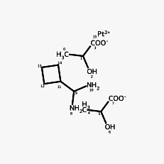 CC(O)C(=O)[O-].CC(O)C(=O)[O-].NC(N)C1CCC1.[Pt+2]